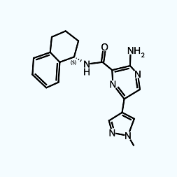 Cn1cc(-c2cnc(N)c(C(=O)N[C@H]3CCCc4ccccc43)n2)cn1